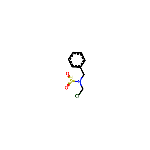 O=[SH](=O)N(CCl)Cc1ccccc1